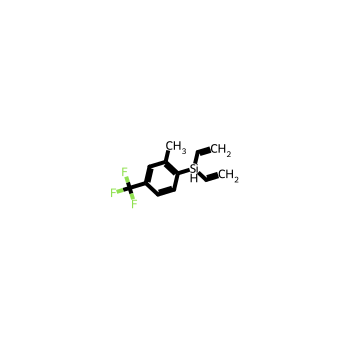 C=C[SiH](C=C)c1ccc(C(F)(F)F)cc1C